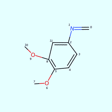 C=Nc1ccc(OC)c(OC)c1